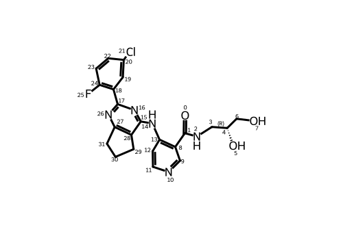 O=C(NC[C@@H](O)CO)c1cnccc1Nc1nc(-c2cc(Cl)ccc2F)nc2c1CCC2